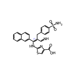 N=C/C(Cc1ccc(S(N)(=O)=O)cc1)=C(\Nc1nc(C(=O)O)cs1)c1ccc2ccccc2c1